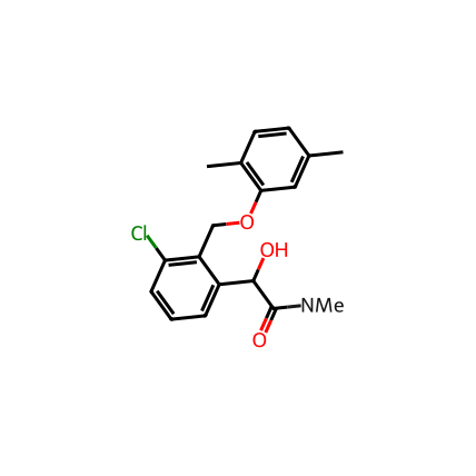 CNC(=O)C(O)c1cccc(Cl)c1COc1cc(C)ccc1C